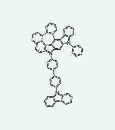 c1ccc(-n2c3ccccc3c3c4c5c6c7c(cccc7ccc6n(-c6ccc(-c7ccc(-n8c9ccccc9c9ccccc98)cc7)cc6)c5cc32)-c2ccccc2-4)cc1